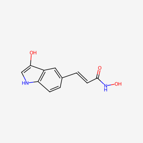 O=C(/C=C/c1ccc2[nH]cc(O)c2c1)NO